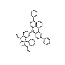 C=C/C=C(\C)C1(c2ccccc2)c2cc(N(c3ccc(-c4ccccc4)cc3)c3ccc(-c4ccccc4)cc3-c3ccccc3)ccc2C(C=C)C1C